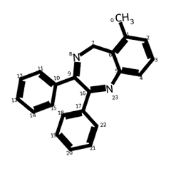 Cc1cccc2c1CN=C(c1ccccc1)C(c1ccccc1)=N2